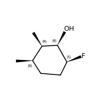 C[C@H]1[C@@H](O)[C@@H](F)CC[C@H]1C